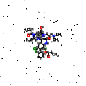 C=CC(=O)Oc1cccc(F)c1-c1c(Cl)cc2c3c4c(nc2c1F)O[C@@H](CN(C)C)CN4C(=C=O)[C@H]1CN(C(=O)C=C)[C@H](C)CN31